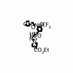 CCOC(=O)N1CCN(c2nnc(NC(=O)c3ccc(OC(F)(F)F)c(NC(=O)CN4CCOCC4)c3)s2)CC1